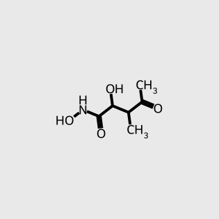 CC(=O)C(C)C(O)C(=O)NO